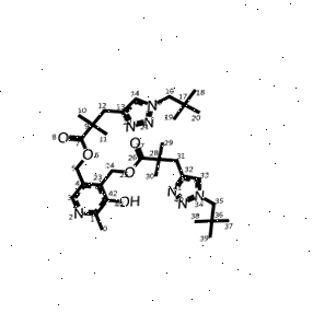 Cc1ncc(COC(=O)C(C)(C)Cc2cn(CC(C)(C)C)nn2)c(COC(=O)C(C)(C)Cc2cn(CC(C)(C)C)nn2)c1O